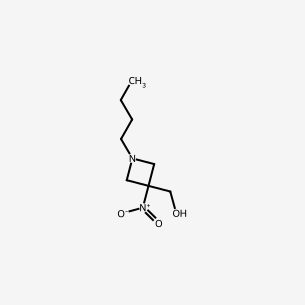 CCCCN1CC(CO)([N+](=O)[O-])C1